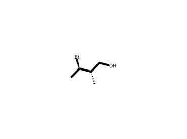 CC[C@H](C)[C@@H](C)CO